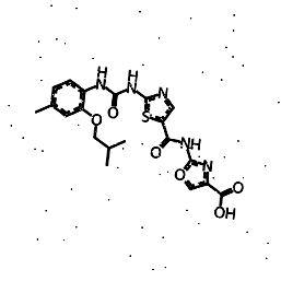 Cc1ccc(NC(=O)Nc2ncc(C(=O)Nc3nc(C(=O)O)co3)s2)c(OCC(C)C)c1